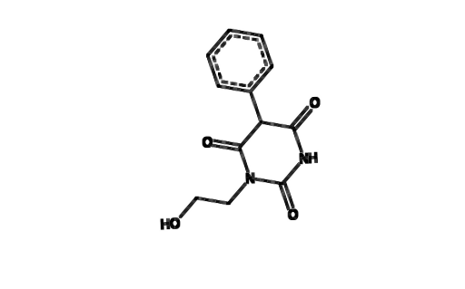 O=C1NC(=O)N(CCO)C(=O)C1c1ccccc1